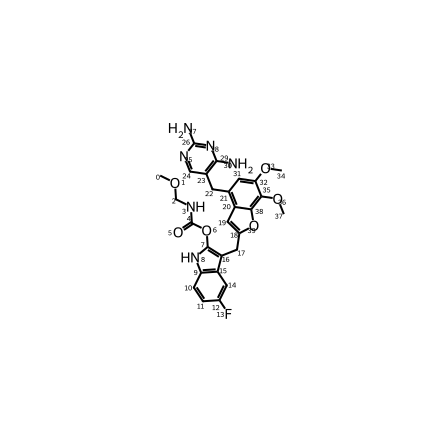 COCNC(=O)Oc1[nH]c2ccc(F)cc2c1Cc1cc2c(Cc3cnc(N)nc3N)cc(OC)c(OC)c2o1